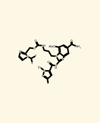 CCn1nc(C)cc1C(=O)Nc1nc2cc(C(N)=O)cc(OC)c2n1CCCNC(=O)OCc1nccn1C(F)F